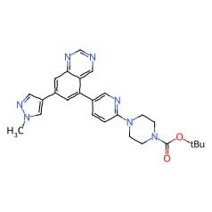 Cn1cc(-c2cc(-c3ccc(N4CCN(C(=O)OC(C)(C)C)CC4)nc3)c3cncnc3c2)cn1